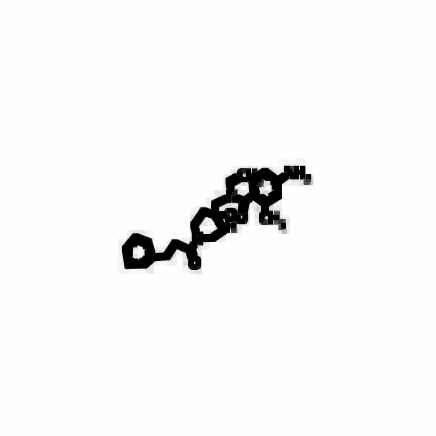 C=CN(CC1(O)CCN(C(=O)CCc2ccccc2)CC1)C(=O)c1ccc(N)cc1C